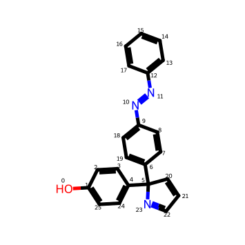 Oc1ccc(C2(c3ccc(N=Nc4ccccc4)cc3)C=CC=N2)cc1